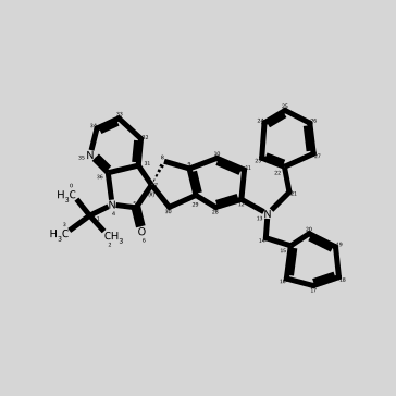 CC(C)(C)N1C(=O)[C@@]2(Cc3ccc(N(Cc4ccccc4)Cc4ccccc4)cc3C2)c2cccnc21